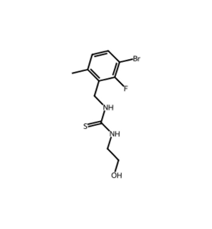 Cc1ccc(Br)c(F)c1CNC(=S)NCCO